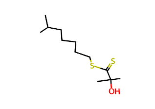 CC(C)CCCCCSC(=S)C(C)(C)O